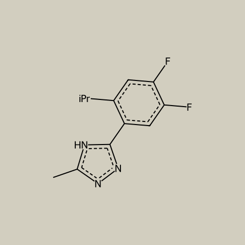 Cc1nnc(-c2cc(F)c(F)cc2C(C)C)[nH]1